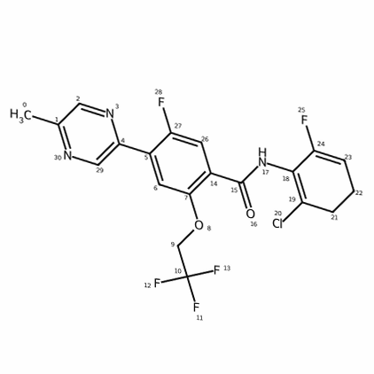 Cc1cnc(-c2cc(OCC(F)(F)F)c(C(=O)NC3=C(Cl)CCC=C3F)cc2F)cn1